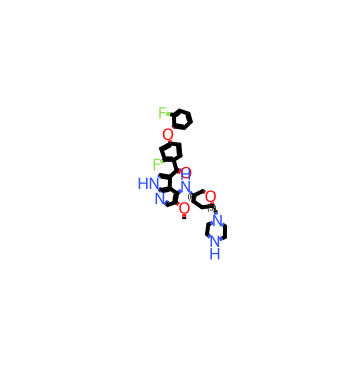 COc1cnc2[nH]cc(C(=O)c3ccc(Oc4ccccc4F)cc3F)c2c1N[C@@H]1CC[C@@H](CN2CCNCC2)OC1